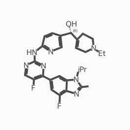 CCN1CC=C([C@@H](O)c2ccc(Nc3ncc(F)c(-c4cc(F)c5nc(C)n(C(C)C)c5c4)n3)nc2)CC1